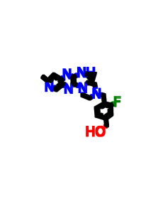 Cc1cc2nc(NC3CC3)c(N3CCN(Cc4ccc(CO)cc4F)CC3)nc2cn1